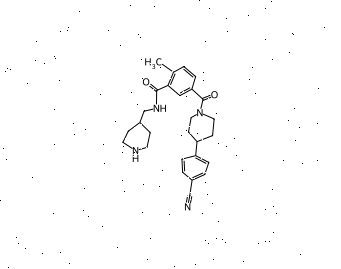 Cc1ccc(C(=O)N2CCC(c3ccc(C#N)cc3)CC2)cc1C(=O)NCC1CCNCC1